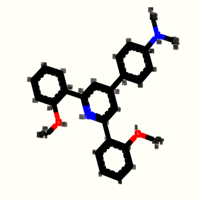 CCCOc1ccccc1-c1cc(-c2ccc(N(CC)CC)cc2)cc(-c2ccccc2OCCC)n1